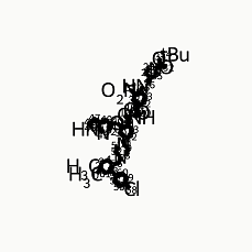 CC1(C)CCC(CN2CCN(c3ccc(C(=O)NS(=O)(=O)c4ccc(NCC5CCN(C(=O)OC(C)(C)C)C5)c([N+](=O)[O-])c4)c(Oc4cnc5[nH]ccc5c4)c3)CC2)=C(c2ccc(Cl)cc2)C1